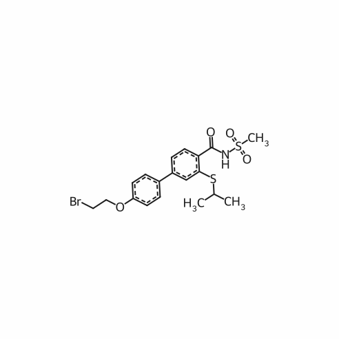 CC(C)Sc1cc(-c2ccc(OCCBr)cc2)ccc1C(=O)NS(C)(=O)=O